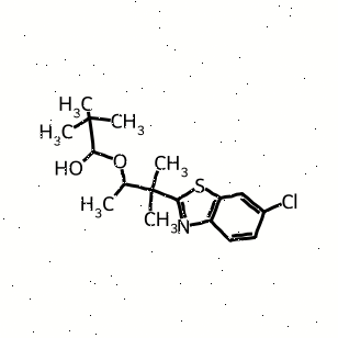 CC(OC(O)C(C)(C)C)C(C)(C)c1nc2ccc(Cl)cc2s1